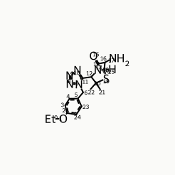 CCOc1ccc(Cn2nnnc2C2N3C(=O)C(N)[C@@H]3SC2(C)C)cc1